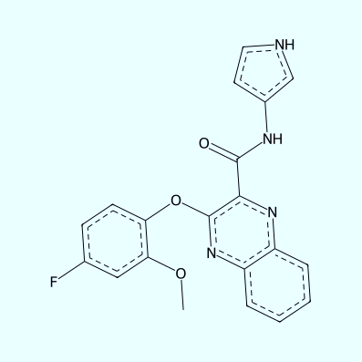 COc1cc(F)ccc1Oc1nc2ccccc2nc1C(=O)Nc1cc[nH]c1